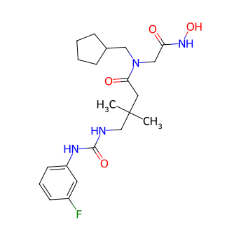 CC(C)(CNC(=O)Nc1cccc(F)c1)CC(=O)N(CC(=O)NO)CC1CCCC1